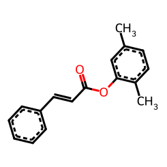 Cc1ccc(C)c(OC(=O)C=Cc2ccccc2)c1